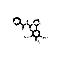 COc1cc2c(c(OC)c1C)N=C(NC(=O)c1cccnc1)N1CCN=C21